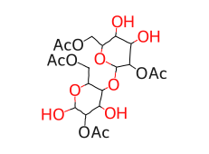 CC(=O)OCC1OC(OC2C(COC(C)=O)OC(O)C(OC(C)=O)C2O)C(OC(C)=O)C(O)C1O